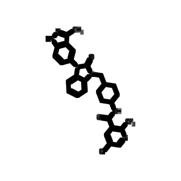 Cc1n[nH]c2ccc(-n3c(=O)n(CC4CCC(NC(=O)c5cc(Cl)cnc5C(F)(F)F)CC4)c4ccccc43)cc12